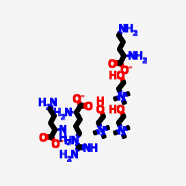 C[N+](C)(C)CCO.C[N+](C)(C)CCO.C[N+](C)(C)CCO.N=C(N)NCCC[C@H](N)C(=O)[O-].NCCC[C@H](N)C(=O)[O-].NCCC[C@H](N)C(=O)[O-]